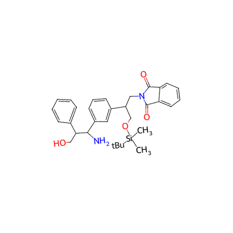 CC(C)(C)[Si](C)(C)OCC(CN1C(=O)c2ccccc2C1=O)c1cccc(C(N)C(CO)c2ccccc2)c1